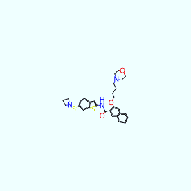 O=C(Nc1cc2ccc(SN3CCC3)cc2s1)c1cc2ccccc2cc1OCCCCN1CCOCC1